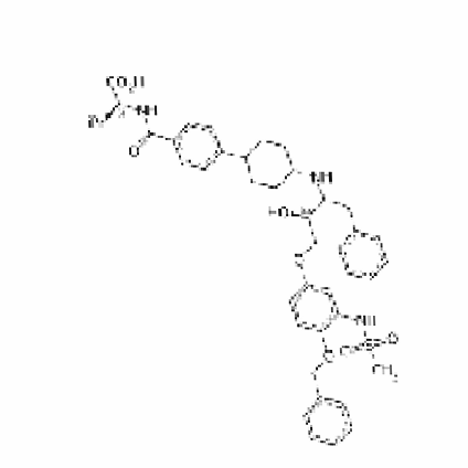 CC(C)[C@H](NC(=O)c1ccc(C2CCC(NC(Cc3ccccc3)[C@H](O)COc3ccc(OCc4ccccc4)c(NS(C)(=O)=O)c3)CC2)cc1)C(=O)O